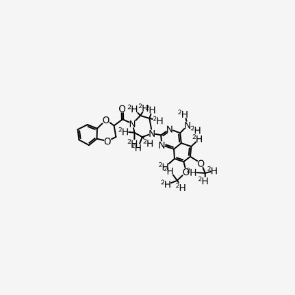 [2H]c1c(OC([2H])([2H])[2H])c(OC([2H])([2H])[2H])c([2H])c2c(N([2H])[2H])nc(N3C([2H])([2H])C([2H])([2H])N(C(=O)C4COc5ccccc5O4)C([2H])([2H])C3([2H])[2H])nc12